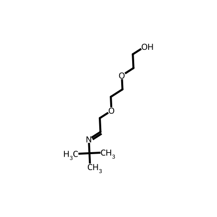 CC(C)(C)/N=C/COCCOCCO